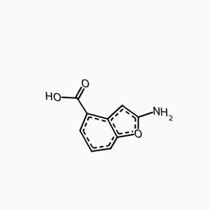 Nc1cc2c(C(=O)O)cccc2o1